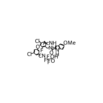 COc1ccc2[nH]c(C(=O)NCc3ccc(Cl)c(Oc4cc(Cl)cc(C#N)c4)c3F)c(NC(C)=O)c2c1.O=C(O)C(F)(F)F